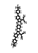 N#CC(C#N)=C1c2cc(-c3ccc(C(F)(F)F)cc3)ccc2-c2nc3cc4nc5c(nc4cc3nc21)C(=C(C#N)C#N)c1cc(-c2ccc(C(F)(F)F)cc2)ccc1-5